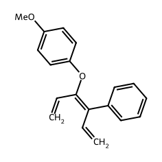 C=C/C(Oc1ccc(OC)cc1)=C(\C=C)c1ccccc1